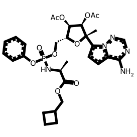 CC(=O)O[C@H]1[C@@H](OC(C)=O)[C@](C)(c2ccc3c(N)ncnn23)O[C@@H]1COP(=O)(N[C@@H](C)C(=O)OCC1CCC1)Oc1ccccc1